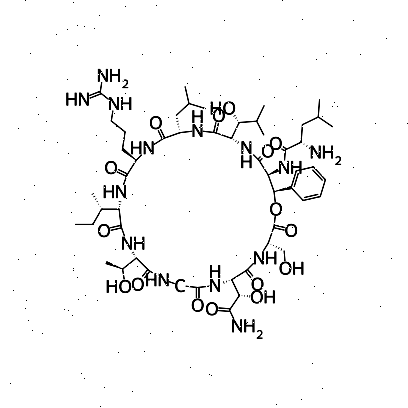 CC[C@H](C)[C@@H]1NC(=O)[C@@H](CCCNC(=N)N)NC(=O)[C@H](CC(C)C)NC(=O)[C@H]([C@H](O)C(C)C)NC(=O)[C@@H](NC(=O)[C@@H](N)CC(C)C)[C@@H](c2ccccc2)OC(=O)[C@H](CO)NC(=O)[C@H]([C@H](O)C(N)=O)NC(=O)CNC(=O)[C@H]([C@H](C)O)NC1=O